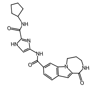 O=C(Nc1c[nH]c(C(=O)NC2CCCC2)n1)c1ccc2cc3n(c2c1)CCCNC3=O